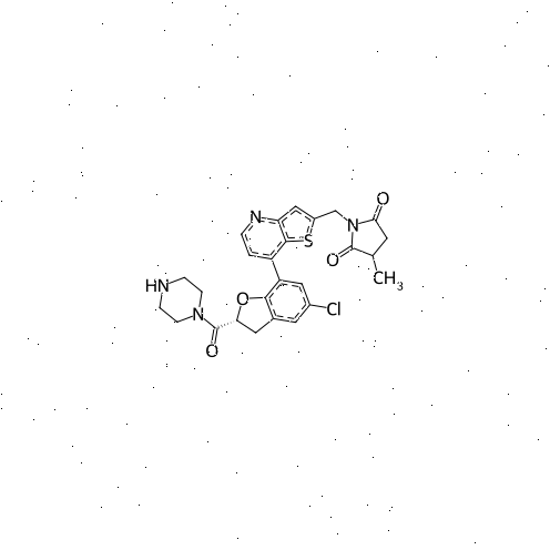 CC1CC(=O)N(Cc2cc3nccc(-c4cc(Cl)cc5c4O[C@@H](C(=O)N4CCNCC4)C5)c3s2)C1=O